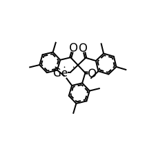 Cc1cc(C)c(C(=O)C([CH2][Ge])(C(=O)c2c(C)cc(C)cc2C)C(=O)c2c(C)cc(C)cc2C)c(C)c1